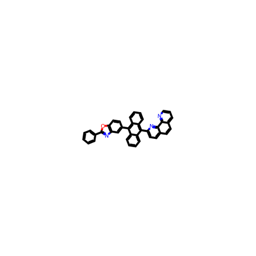 c1ccc(-c2nc3cc(-c4c5ccccc5c(-c5ccc6ccc7cccnc7c6n5)c5ccccc45)ccc3o2)cc1